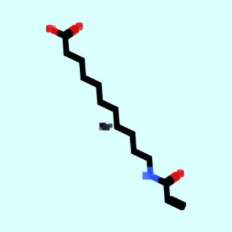 C=CC(=O)NCCCCCCCCCCC(=O)[O-].[Na+]